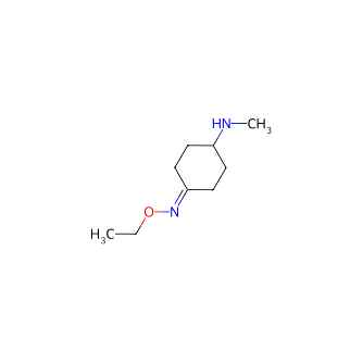 CCON=C1CCC(NC)CC1